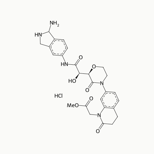 COC(=O)CN1C(=O)CCc2ccc(N3CCO[C@H]([C@@H](O)C(=O)Nc4ccc5c(c4)CNC5N)C3=O)cc21.Cl